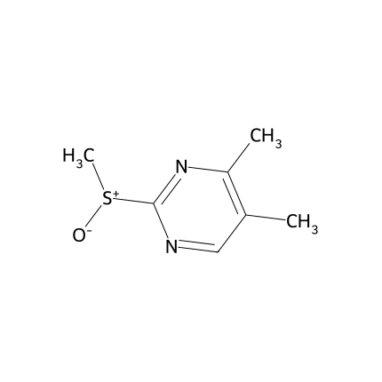 Cc1cnc([S+](C)[O-])nc1C